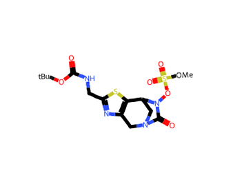 COS(=O)(=O)ON1C(=O)N2Cc3nc(CNC(=O)OC(C)(C)C)sc3C1C2